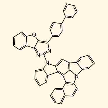 c1ccc(-c2ccc(-c3nc(-n4c5ccccc5c5c6c7c8ccccc8ccc7n7c8ccccc8c(cc54)c67)nc4c3oc3ccccc34)cc2)cc1